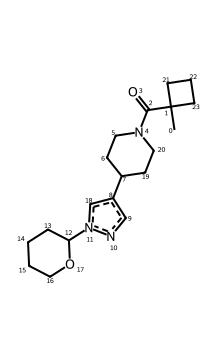 CC1(C(=O)N2CCC(c3cnn(C4CCCCO4)c3)CC2)CCC1